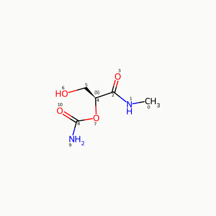 CNC(=O)[C@H](CO)OC(N)=O